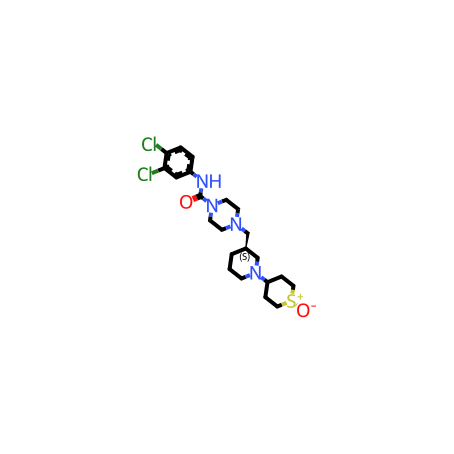 O=C(Nc1ccc(Cl)c(Cl)c1)N1CCN(C[C@@H]2CCCN(C3CC[S+]([O-])CC3)C2)CC1